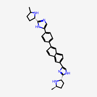 CC1CC[C@@H](c2ncc(-c3ccc(-c4ccc5cc(-c6c[nH]c([C@@H]7CC[C@@H](C)N7)n6)ccc5c4)cc3)[nH]2)N1